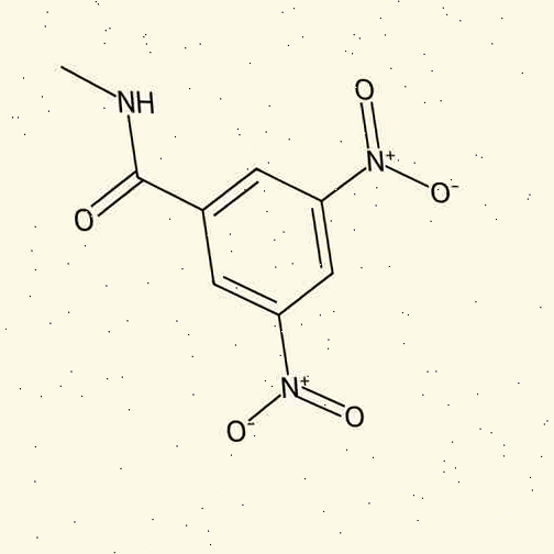 CNC(=O)c1cc([N+](=O)[O-])cc([N+](=O)[O-])c1